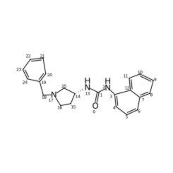 O=C(Nc1cccc2ccccc12)N[C@@H]1CCN(Cc2ccccc2)C1